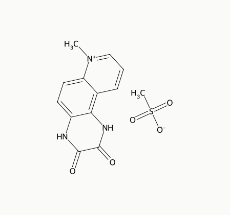 CS(=O)(=O)[O-].C[n+]1cccc2c3[nH]c(=O)c(=O)[nH]c3ccc21